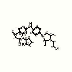 CC1CN(c2ccc(Nc3ncc4c(n3)N(C3CCCC3)C(C=O)CN4C)cc2)CC(C)N1CCO